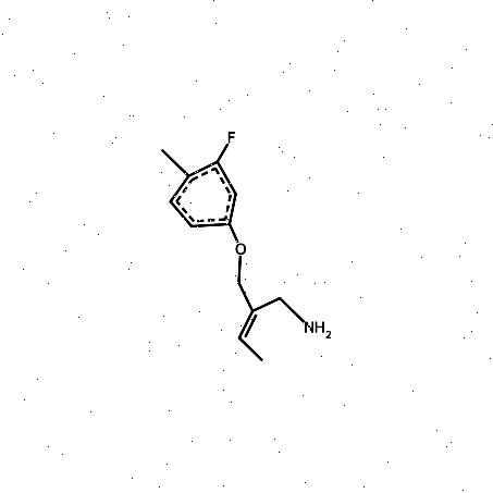 C/C=C(\CN)COc1ccc(C)c(F)c1